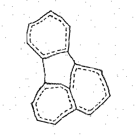 [c]1cccc2c1-c1cccc3[c]ccc-2c13